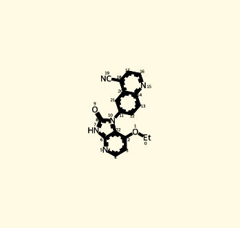 CCOc1ccnc2[nH]c(=O)n(-c3ccc4nccc(C#N)c4c3)c12